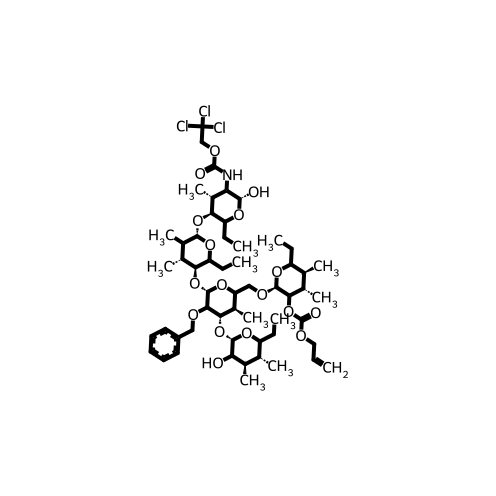 C=CCOC(=O)OC1[C@@H](OCC2O[C@@H](O[C@@H]3C(CC)O[C@@H](O[C@@H]4C(CC)O[C@@H](O)C(NC(=O)OCC(Cl)(Cl)Cl)[C@H]4C)C(C)[C@H]3C)C(OCc3ccccc3)[C@@H](O[C@@H]3OC(CC)[C@H](C)[C@@H](C)C3O)[C@@H]2C)OC(CC)[C@@H](C)[C@@H]1C